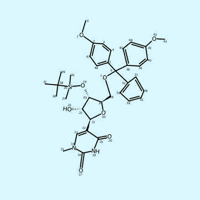 COc1ccc(C(OC[C@H]2O[C@@H](c3cn(C)c(=O)[nH]c3=O)[C@H](O)[C@@H]2O[Si](C)(C)C(C)(C)C)(c2ccccc2)c2ccc(OC)cc2)cc1